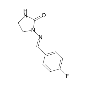 O=C1NCCN1N=Cc1ccc(F)cc1